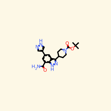 CC(C)(C)OC(=O)N1CCC(c2n[nH]c3c(C(N)=O)cc(-c4cn[nH]c4)cc23)CC1